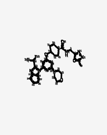 Cc1nnc(CNC(=O)[C@H]2CC[C@H](Oc3cc(-n4c(C(F)F)nc5ccccc54)nc(N4CCOCC4)n3)CC2)o1